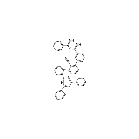 N#Cc1c(-c2cccc(C(=N)SC(=N)c3ccccc3)c2)cccc1-c1ccccc1-c1nc(-c2ccccc2)cc(-c2ccccc2)n1